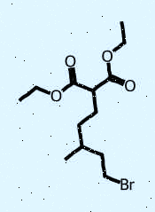 CCOC(=O)C(CCC(C)CCBr)C(=O)OCC